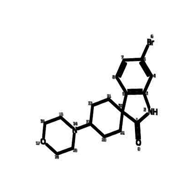 O=C1Nc2cc(Br)ccc2C12CCC(N1CCOCC1)CC2